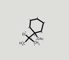 CCC(C)(C)C1(OC(C)=O)CCCCC1